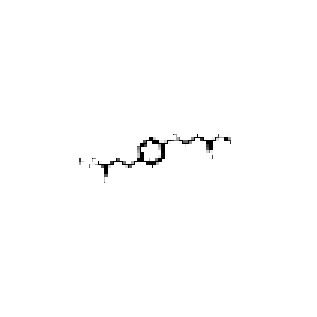 CC(=O)CCc1ccc(OCCC(=O)N=O)cc1